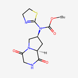 CC(C)(C)OC(=O)N(C1=NCCS1)[C@H]1C[C@H]2C(=O)NCC(=O)N2C1